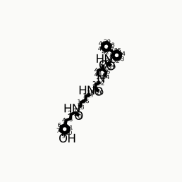 O=C(CCCc1ccc(O)cc1)NCCCCCNC(=O)CCN1CCC(OC(=O)Nc2ccccc2-c2ccccc2)CC1